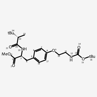 COC(=O)[C@H](Cc1ccc(OCCNC(=O)OC(C)(C)C)cc1)NC(=O)[C@@H](C)C(C)(C)C